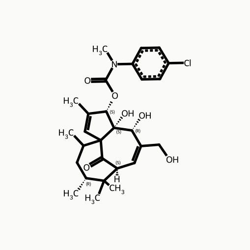 CC1=CC23C(=O)[C@@H](C=C(CO)[C@@H](O)[C@]2(O)[C@H]1OC(=O)N(C)c1ccc(Cl)cc1)C(C)(C)[C@H](C)CC3C